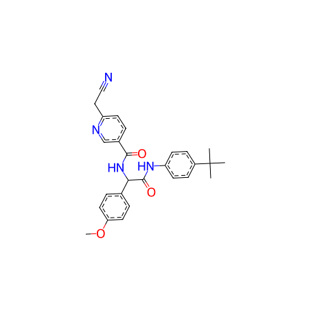 COc1ccc(C(NC(=O)c2ccc(CC#N)nc2)C(=O)Nc2ccc(C(C)(C)C)cc2)cc1